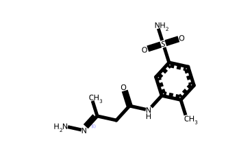 C/C(CC(=O)Nc1cc(S(N)(=O)=O)ccc1C)=N\N